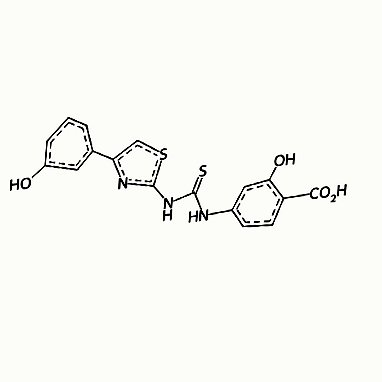 O=C(O)c1ccc(NC(=S)Nc2nc(-c3cccc(O)c3)cs2)cc1O